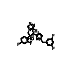 C[C@@H](c1ccn(Cc2cc(F)cc(F)c2)n1)[C@](O)(Cn1cnnn1)c1ccc(F)cc1F